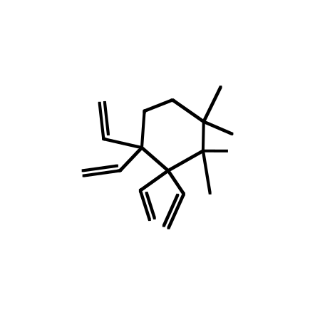 C=CC1(C=C)CCC(C)(C)C(C)(C)C1(C=C)C=C